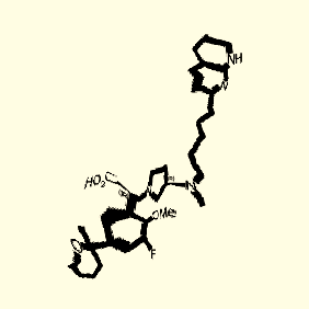 COc1c(F)cc(C2(C)CCCCO2)cc1[C@H](C(=O)O)N1CC[C@@H](N(C)CCCCCc2ccc3c(n2)NCCC3)C1